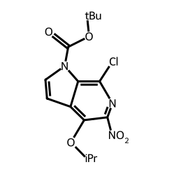 CC(C)Oc1c([N+](=O)[O-])nc(Cl)c2c1ccn2C(=O)OC(C)(C)C